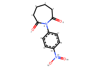 O=C1CCCCC(=O)N1c1ccc([N+](=O)[O-])cc1